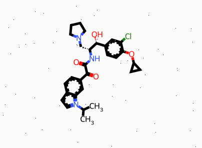 CC(C)n1ccc2ccc(C(=O)C(=O)N[C@H](CN3CCCC3)[C@H](O)c3ccc(OC4CC4)c(Cl)c3)cc21